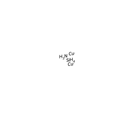 N.[Cu].[Cu].[SiH4]